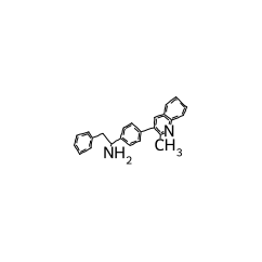 Cc1nc2ccccc2cc1-c1ccc(C(N)Cc2ccccc2)cc1